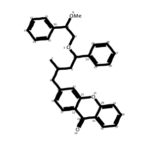 COC(COC(CC(C)Cc1ccc2c(=O)c3ccccc3oc2c1)c1ccccc1)c1ccccc1